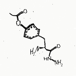 CC(=O)Oc1ccc(C[C@H](N)C(=O)NN)cc1